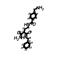 NCc1ccc(C(=O)NCCC(C(N)=O)C(=O)NCc2ccccc2)cc1